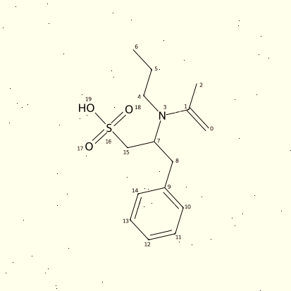 C=C(C)N(CCC)C(Cc1ccccc1)CS(=O)(=O)O